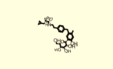 CCCN(CC1CC1)C(=O)NCCc1ccc(Cc2cc([C@@H]3O[C@H](CO)[C@@H](O)[C@H](O)[C@H]3O)c(O)cc2C)cc1